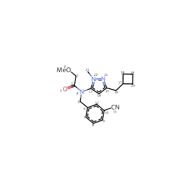 COCC(=O)N(Cc1cccc(C#N)c1)c1cc(CC2CCC2)nn1C